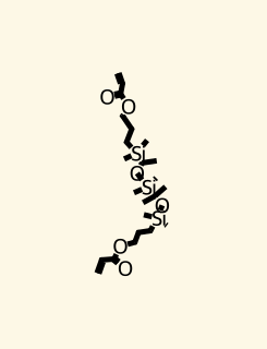 C=CC(=O)OCCC[Si](C)(C)OC(C)(C)[Si](C)(C)OC(C)[Si](C)(C)CCCOC(=O)C=C